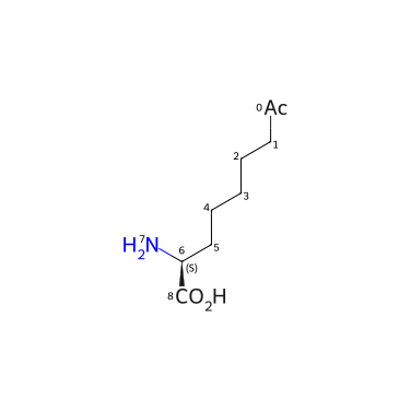 CC(=O)CCCCC[C@H](N)C(=O)O